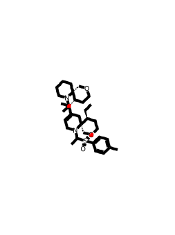 CC[C@H]1CCOC[C@]12CC(C(C)[C@H]1CCOC[C@]13CCCCN3CC)=CCN2C(C)S(=O)(=O)c1ccc(C)cc1